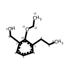 CCCc1cccc([CH]O)c1OCC